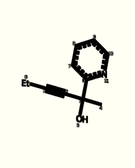 CCC#CC(C)(O)c1ccccn1